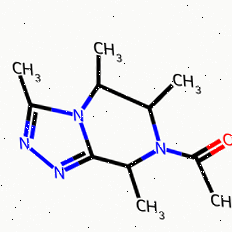 CC(=O)N1C(C)c2nnc(C)n2C(C)C1C